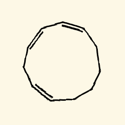 C1=CCC=CCCCCC=C1